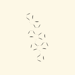 c1ccc(-n2c3ccccc3c3c(-n4c5ccccc5c5c(-c6cccc7c6oc6ccccc67)cccc54)cccc32)cc1